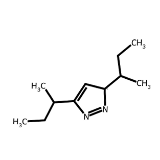 CCC(C)[C]1C=C(C(C)CC)N=N1